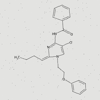 CCCC=C1N=C(NC(=O)c2ccccc2)C(Cl)=CN1CCOc1ccccc1